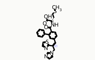 CSCC[C@H](NC(=O)c1ccc(/C=C(/Cn2ccnc2)c2nccs2)cc1-c1ccccc1)C(=O)O